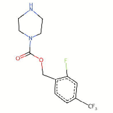 O=C(OCc1ccc(C(F)(F)F)cc1F)N1CCNCC1